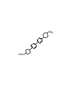 CCCCCC1CCC(c2ccc(-c3ccc(C4CCC(OCC)CC4)cc3)cc2)CC1